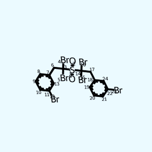 O=S(=O)(C(Br)(Br)Cc1cccc(Br)c1)C(Br)(Br)Cc1cccc(Br)c1